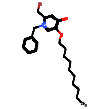 CCCCCCCCCCOc1cn(Cc2ccccc2)c(CBr)cc1=O